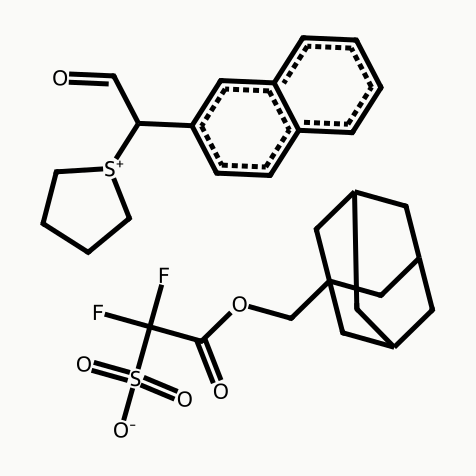 O=C(OCC12CC3CC(CC(C3)C1)C2)C(F)(F)S(=O)(=O)[O-].O=CC(c1ccc2ccccc2c1)[S+]1CCCC1